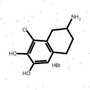 Br.NC1CCc2cc(O)c(O)c(Cl)c2C1